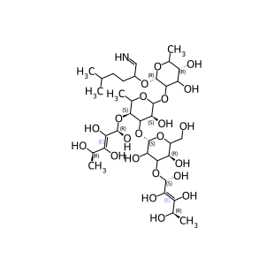 CC(C)CCC(C=N)O[C@@H]1OC(C)[C@H](O)C(O)C1OC1OC(C)[C@H](O[C@@H](O)/C(O)=C(\O)[C@@H](C)O)C(O[C@@H]2OC(CO)[C@@H](O)C(O[C@H](O)/C(O)=C(\O)[C@@H](C)O)C2O)[C@@H]1O